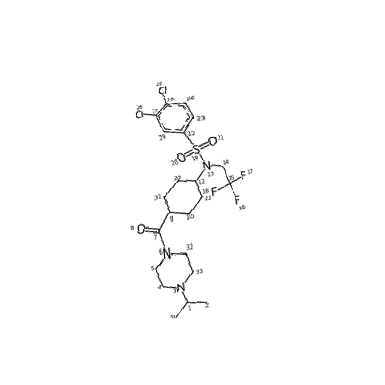 CC(C)N1CCN(C(=O)C2CCC(N(CC(F)(F)F)S(=O)(=O)c3ccc(Cl)c(Cl)c3)CC2)CC1